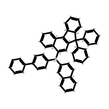 c1ccc(-c2ccc(N(c3ccc4ccccc4c3)c3cc4c(c5ccccc35)-c3ccccc3C4(c3ccccc3)c3ccccc3)cc2)cc1